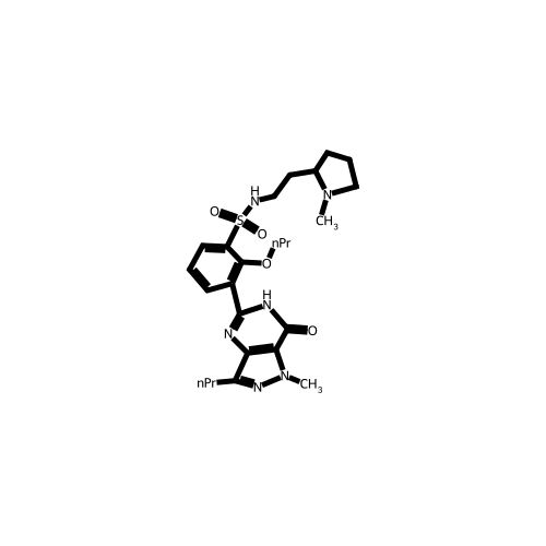 CCCOc1c(-c2nc3c(CCC)nn(C)c3c(=O)[nH]2)cccc1S(=O)(=O)NCCC1CCCN1C